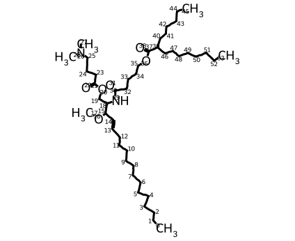 CCCCCCCCCCCCC/C=C/C(OC)C(COC(=O)CCCN(C)C)NC(=O)CCCCOC(=O)C(CCCCCC)CCCCCCCC